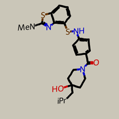 CNc1nc2c(SNc3ccc(C(=O)N4CCC(O)(CC(C)C)CC4)cc3)cccc2s1